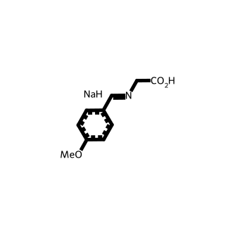 COc1ccc(C=NCC(=O)O)cc1.[NaH]